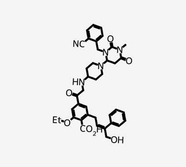 CCOc1cc(C(=O)CNC2CCN(C3CC(=O)N(C)C(=O)N3Cc3ccccc3C#N)CC2)cc(CC=C(CO)c2ccccc2)c1C(=O)O